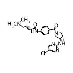 CN(C)C/C=C/C(=O)Nc1ccc(C(=O)N2CC[C@@H](Nc3ncc(Cl)cn3)C2)cc1